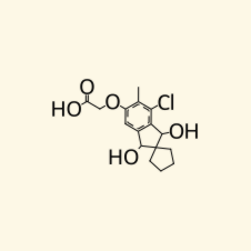 Cc1c(OCC(=O)O)cc2c(c1Cl)C(O)C1(CCCC1)C2O